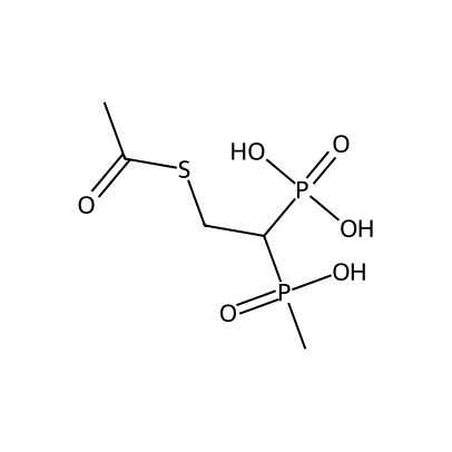 CC(=O)SCC(P(C)(=O)O)P(=O)(O)O